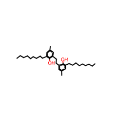 CCCCCCCCCc1cc(C)cc(CCc2cc(C)cc(CCCCCCCCC)c2O)c1O